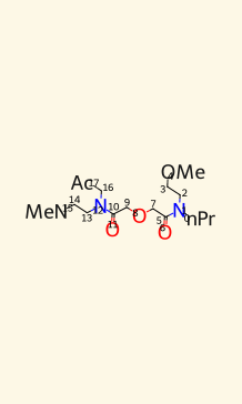 CCCN(CCOC)C(=O)COCC(=O)N(CCNC)CC(C)=O